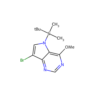 COc1ncnc2c(Br)cn([Si](C)(C)C(C)(C)C)c12